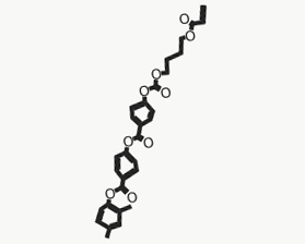 C=CC(=O)OCCCCOC(=O)Oc1ccc(C(=O)Oc2ccc(C(=O)Oc3ccc(C)cc3C)cc2)cc1